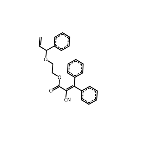 C=CC(OCCOC(=O)C(C#N)=C(c1ccccc1)c1ccccc1)c1ccccc1